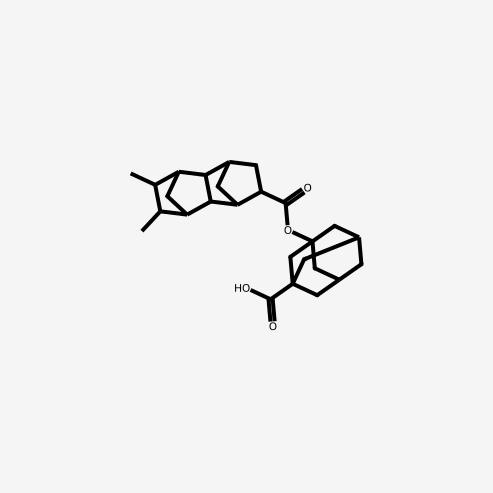 CC1C(C)C2CC1C1C3CC(C(=O)OC45CC6CC(C4)CC(C(=O)O)(C6)C5)C(C3)C21